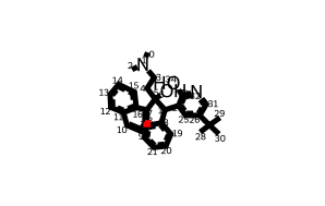 CN(C)CCC(O)(C1=C=C=Cc2ccccc21)C(c1ccccc1)c1cc(C(C)(C)C)cnc1O